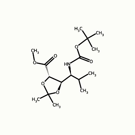 COC(=O)[C@H]1OC(C)(C)O[C@@H]1[C@@H](NC(=O)OC(C)(C)C)C(C)C